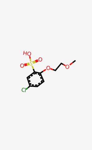 COCCOc1ccc(Cl)cc1S(=O)(=O)O